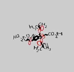 C=C(C)C(=O)OCCC(CCOC(=O)C(=C)C)(OC(=O)CCC(=O)O)c1ccc(COC(=O)CCC(=O)O)c([N+](=O)[O-])c1